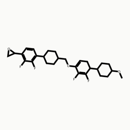 COC1CCC(C2CC=C(OCC3CCC(c4ccc(C5CO5)c(F)c4F)CC3)C(F)=C2F)CC1